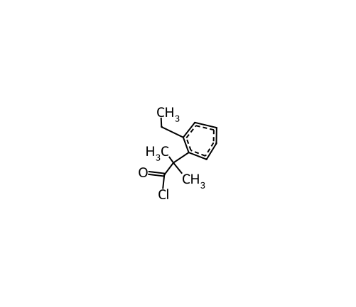 CCc1ccccc1C(C)(C)C(=O)Cl